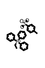 CC[P+](c1ccccc1)(c1ccccc1)c1ccccc1.Cc1ccc(S(=O)(=O)[O-])cc1